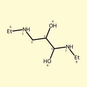 CCNCC(O)C(O)NCC